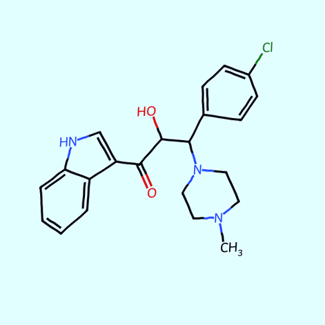 CN1CCN(C(c2ccc(Cl)cc2)C(O)C(=O)c2c[nH]c3ccccc23)CC1